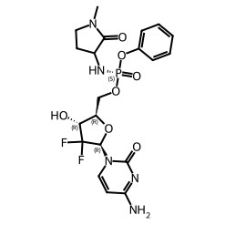 CN1CCC(N[P@](=O)(OC[C@H]2O[C@@H](n3ccc(N)nc3=O)C(F)(F)[C@@H]2O)Oc2ccccc2)C1=O